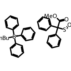 CCCC[B-](c1ccccc1)(c1ccccc1)c1ccccc1.COC(=O)C([S+]=O)(c1ccccc1)c1ccccc1